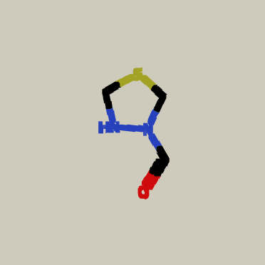 O=CN1CSCN1